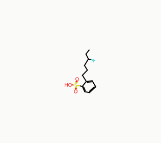 CCC(F)CCCc1ccccc1S(=O)(=O)O